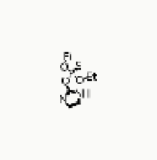 CCOP(=S)(OCC)Oc1ncc[nH]1